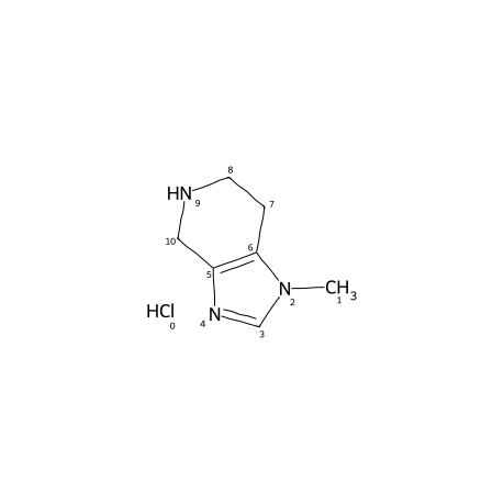 Cl.Cn1cnc2c1CCNC2